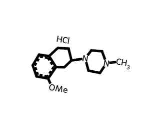 COc1cccc2c1CC(N1CCN(C)CC1)CC2.Cl